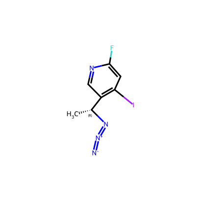 C[C@@H](N=[N+]=[N-])c1cnc(F)cc1I